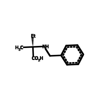 CC[C@](C)(NCc1ccccc1)C(=O)O